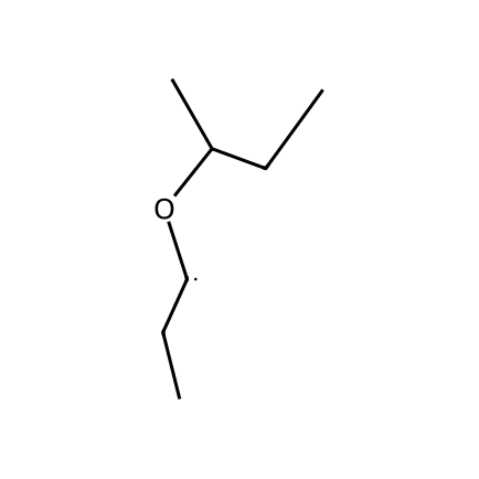 CC[CH]OC(C)CC